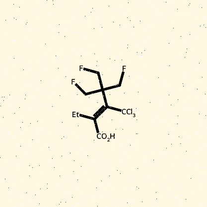 CC/C(C(=O)O)=C(/C(Cl)(Cl)Cl)C(CF)(CF)CF